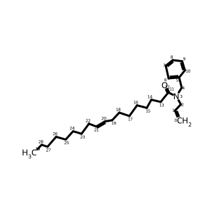 C=CCN(Cc1ccccc1)C(=O)CCCCCCCC=CCCCCCCCC